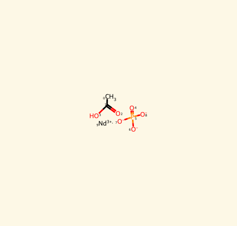 CC(=O)O.O=P([O-])([O-])[O-].[Nd+3]